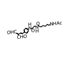 CC(=O)NCCCCCC(=O)NCC(=O)Nc1ccc(/C=C/C(C=O)=C\C=O)cc1